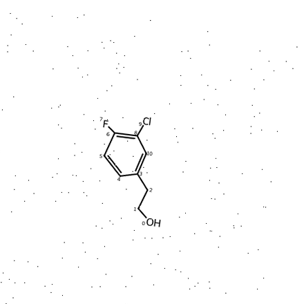 OCCc1ccc(F)c(Cl)c1